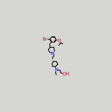 CCN(CCO)[C@H]1CC[C@H](CCN2CCC(Cc3cc(OC(C)C)ccc3Br)CC2)CC1